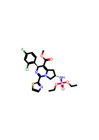 CCOP(=O)(N[C@H]1CC2=C(C(=O)OC)[C@H](c3ccc(F)cc3Cl)N=C(c3nccs3)N2C1)OCC